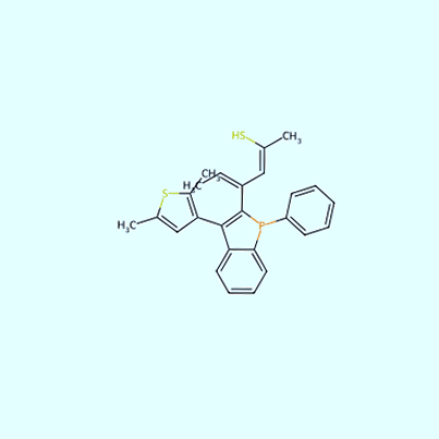 C/C=C(/C=C(/C)S)c1c(-c2cc(C)sc2C)c2ccccc2p1-c1ccccc1